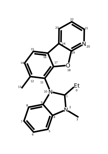 CCC1N(C)c2ccccc2N1c1c(C)ccc2c1oc1ncccc12